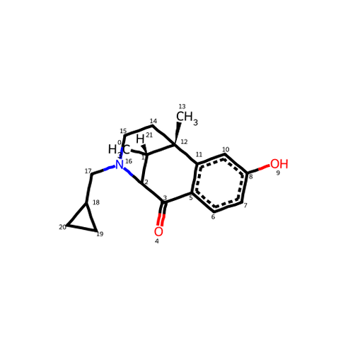 C[C@H]1C2C(=O)c3ccc(O)cc3[C@@]1(C)CCN2CC1CC1